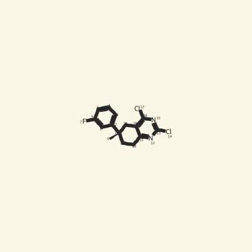 C[C@]1(c2cccc(F)c2)CCc2nc(Cl)nc(Cl)c2C1